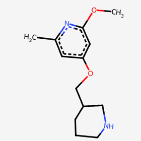 COc1cc(OCC2CCCNC2)cc(C)n1